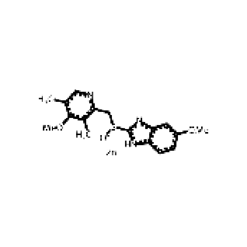 COc1ccc2[nH]c([S+]([O-])Cc3ncc(C)c(OC)c3C)nc2c1.[Zn]